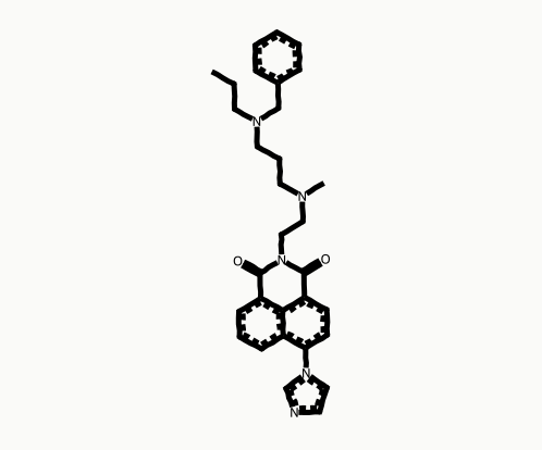 CCCN(CCCN(C)CCN1C(=O)c2cccc3c(-n4ccnc4)ccc(c23)C1=O)Cc1ccccc1